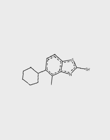 Cc1c(C2CCCCC2)ccc2sc(S)nc12